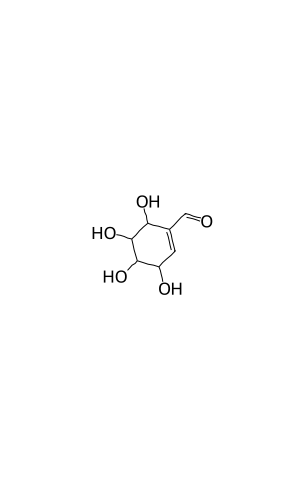 O=CC1=CC(O)C(O)C(O)C1O